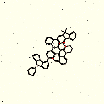 CC1(C)c2ccccc2-c2ccc(-c3ccccc3N(c3ccc(-c4cccc5c4c4ccccc4n5-c4ccccc4)cc3)c3ccccc3-c3cccc4cccc(C5CCCCC5)c34)cc21